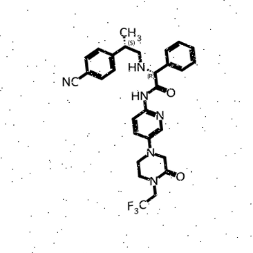 C[C@H](CN[C@@H](C(=O)Nc1ccc(N2CCN(CC(F)(F)F)C(=O)C2)cn1)c1ccccc1)c1ccc(C#N)cc1